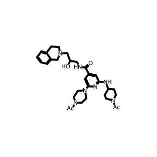 CC(=O)N1CCC(Nc2cc(C(=O)NCC(O)CN3CCc4ccccc4C3)cc(N3CCN(C(C)=O)CC3)n2)CC1